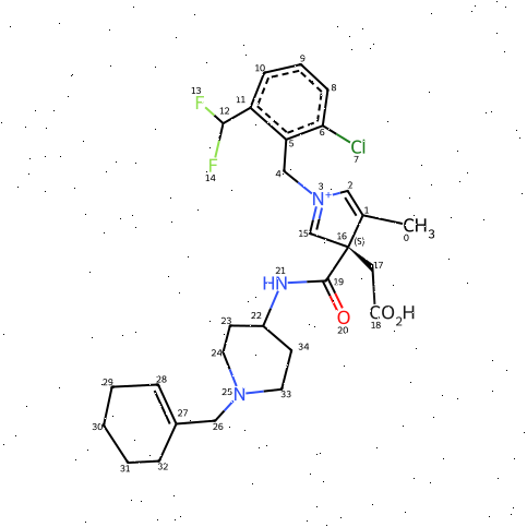 CC1=C[N+](Cc2c(Cl)cccc2C(F)F)=C[C@@]1(CC(=O)O)C(=O)NC1CCN(CC2=CCCCC2)CC1